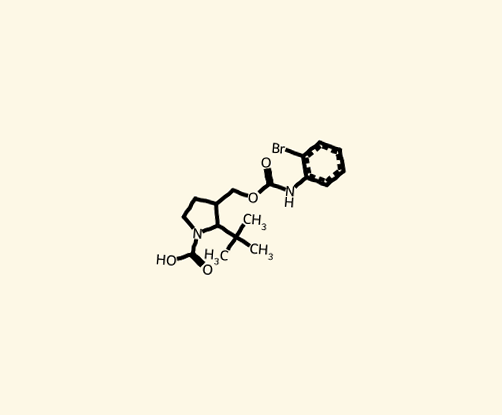 CC(C)(C)C1C(COC(=O)Nc2ccccc2Br)CCN1C(=O)O